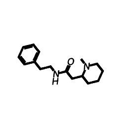 CN1CCCCC1CC(=O)NCCc1ccccc1